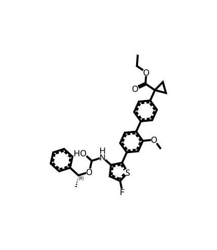 CCOC(=O)C1(c2ccc(-c3ccc(-c4sc(F)cc4NC(O)O[C@H](C)c4ccccc4)cc3OC)cc2)CC1